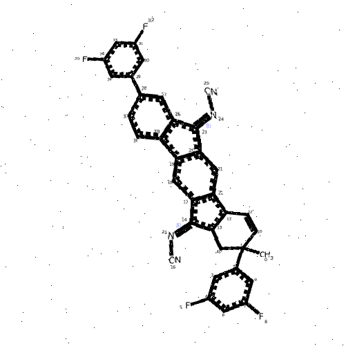 CC1(c2cc(F)cc(F)c2)C=Cc2c(/c(=N\C#N)c3cc4c(cc23)/c(=N/C#N)c2cc(-c3cc(F)cc(F)c3)ccc24)C1